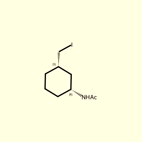 CC(=O)N[C@@H]1CCC[C@H](CI)C1